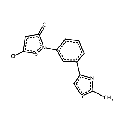 Cc1nc(-c2cccc(-n3sc(Cl)cc3=O)c2)cs1